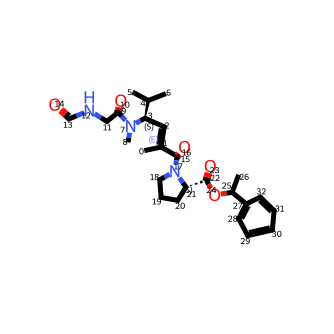 C/C(=C\[C@H](C(C)C)N(C)C(=O)CNC=O)C(=O)N1CCC[C@H]1C(=O)OC(C)c1ccccc1